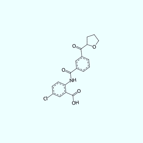 O=C(Nc1ccc(Cl)cc1C(=O)O)c1cccc(C(=O)C2CCCO2)c1